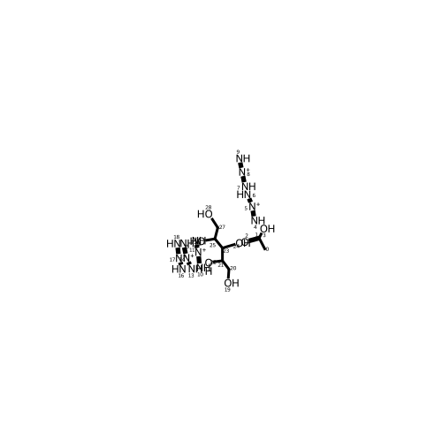 CC(=O)O.N=[N+]=N.N=[N+]=N.N=[N+]=N.N=[N+]=N.N=[N+]=N.OCC(O)C(O)C(O)CO